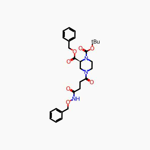 CC(C)(C)OC(=O)N1CCN(C(=O)CCC(=O)NOCc2ccccc2)C[C@H]1C(=O)OCc1ccccc1